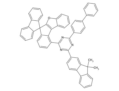 CC1(C)c2ccccc2-c2ccc(-c3nc(-c4ccc(-c5ccccc5)cc4)nc(-c4cccc5c4-c4c(oc6ccccc46)C54c5ccccc5-c5ccccc54)n3)cc21